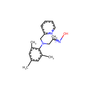 C/C(CN(Cc1ccccn1)c1c(C)cc(C)cc1C)=N\O